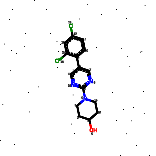 OC1CCN(c2ncc(-c3ccc(Cl)cc3Cl)cn2)CC1